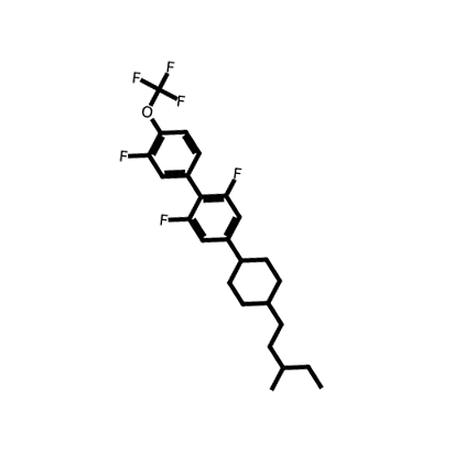 CCC(C)CCC1CCC(c2cc(F)c(-c3ccc(OC(F)(F)F)c(F)c3)c(F)c2)CC1